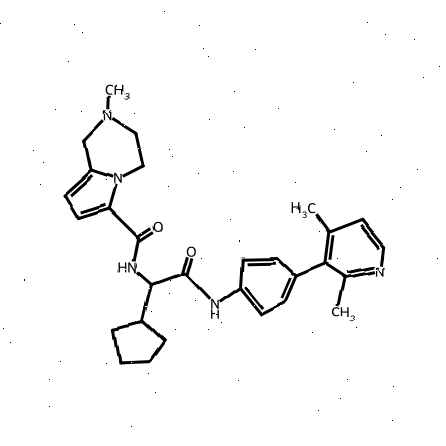 Cc1ccnc(C)c1-c1ccc(NC(=O)C(NC(=O)c2ccc3n2CCN(C)C3)C2CCCC2)cc1